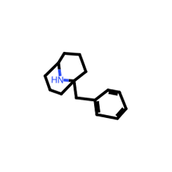 c1ccc(CC23CCCC(CCC2)N3)cc1